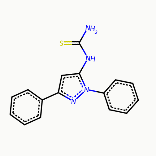 NC(=S)Nc1cc(-c2ccccc2)nn1-c1ccccc1